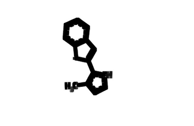 Cc1cc[pH]c1C1=Cc2ccccc2[CH]1